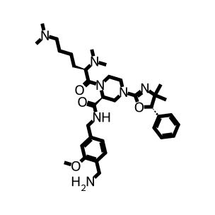 COc1cc(CNC(=O)[C@@H]2CN(C3=NC(C)(C)[C@H](c4ccccc4)O3)CCN2C(=O)[C@@H](CCCCN(C)C)N(C)C)ccc1CN